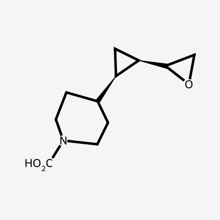 O=C(O)N1CCC([C@H]2C[C@H]2C2CO2)CC1